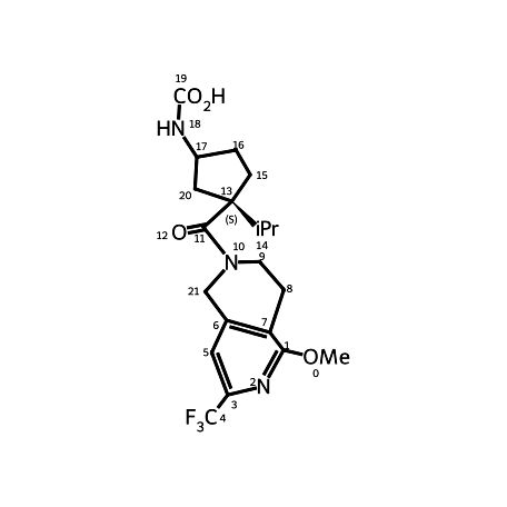 COc1nc(C(F)(F)F)cc2c1CCN(C(=O)[C@@]1(C(C)C)CCC(NC(=O)O)C1)C2